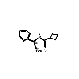 CC(C)(C)[C@H](NC(=O)C1CCC1)c1ccccc1